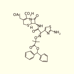 CC(=O)OCC1=C(C(=O)O)N2C(=O)[C@@H](NC(=O)/C(=N\OC(C)(C)C(=O)OC(c3ccccc3)c3ccccc3)c3csc(N)n3)[C@H]2SC1